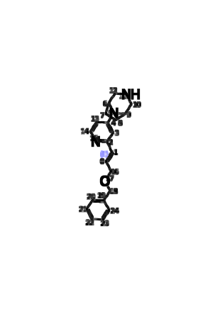 C(=C\c1cc(N2C3CCC2CNC3)ccn1)/COCc1ccccc1